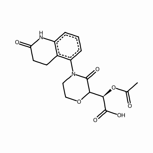 CC(=O)O[C@@H](C(=O)O)C1OCCN(c2cccc3c2CCC(=O)N3)C1=O